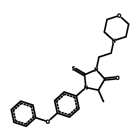 CC1C(=O)N(CCN2CCOCC2)C(=S)N1c1ccc(Oc2ccccc2)cc1